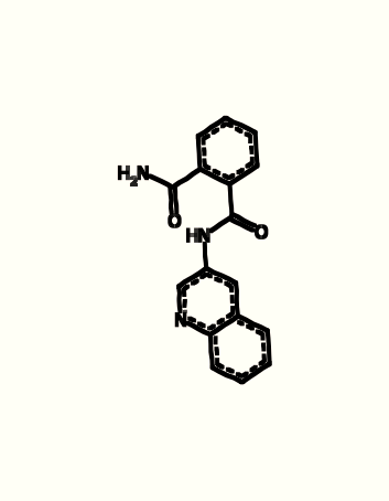 NC(=O)c1ccccc1C(=O)Nc1cnc2ccccc2c1